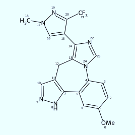 COc1ccc2c(c1)-c1[nH]ncc1Cc1c(-c3cn(C)nc3C(F)(F)F)ncn1-2